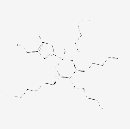 CCCCOC[C@H]1OC(O)(c2cc(CO)c(Cl)s2)[C@H](OCCCC)[C@@H](OCCCC)[C@@H]1OCCCC